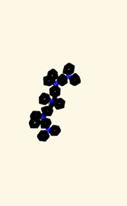 c1ccc(N(c2ccccc2)c2ccc(N(c3ccc(-c4c5ccccc5c(-c5ccc(N(c6ccc(N(c7ccccc7)c7ccccc7)cc6)c6cccc7ccccc67)cc5)n4-c4ccccc4)cc3)c3cccc4ccccc34)cc2)cc1